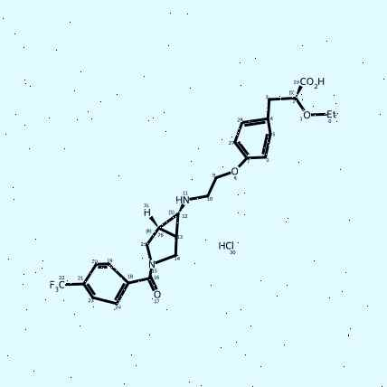 CCO[C@@H](Cc1ccc(OCCN[C@H]2C3CN(C(=O)c4ccc(C(F)(F)F)cc4)C[C@@H]32)cc1)C(=O)O.Cl